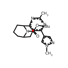 Cc1nc(-c2cnn(C)c2)c2c(n1)C1CCCC(C2)N1C(=O)OC(C)(C)C